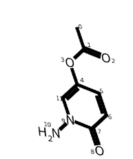 CC(=O)Oc1ccc(=O)n(N)c1